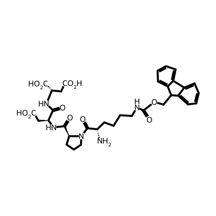 N[C@@H](CCCCNC(=O)OCC1c2ccccc2-c2ccccc21)C(=O)N1CCC[C@H]1C(=O)N[C@@H](CC(=O)O)C(=O)N[C@@H](CC(=O)O)C(=O)O